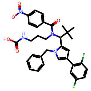 CC(C)(C)C(c1cc(-c2cc(F)ccc2F)cn1Cc1ccccc1)N(CCCNC(=O)O)C(=O)c1ccc([N+](=O)[O-])cc1